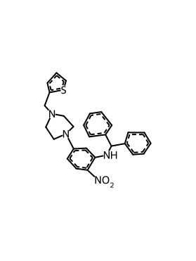 O=[N+]([O-])c1ccc(N2CCN(Cc3cccs3)CC2)cc1NC(c1ccccc1)c1ccccc1